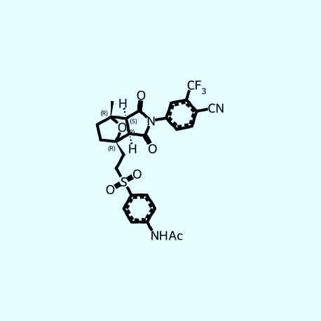 CC(=O)Nc1ccc(S(=O)(=O)CC[C@@]23CC[C@@](C)(O2)[C@H]2C(=O)N(c4ccc(C#N)c(C(F)(F)F)c4)C(=O)[C@H]23)cc1